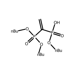 C=C(P(=O)(O)OCCCC)P(=O)(OCCCC)OCCCC